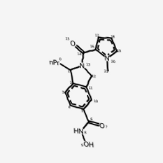 CCCC1c2ccc(C(=O)NO)cc2CN1C(=O)c1cccn1C